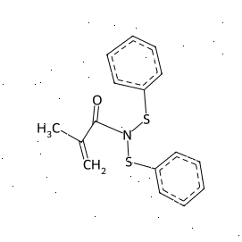 C=C(C)C(=O)N(Sc1ccccc1)Sc1ccccc1